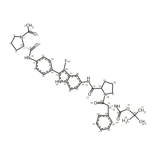 CC(=O)N1CCC[C@H]1C(=O)Nc1ccc(-c2[nH]c3ccc(NC(=O)C4CCCN4C(=O)[C@H](NC(=O)OC(C)(C)C)c4ccccc4)cc3c2F)cc1